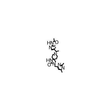 CC(=O)Nc1ncc(C(C)N2CCC3(CC2)CN(Cc2cc(C)nc(C)n2)C(=O)N3)s1